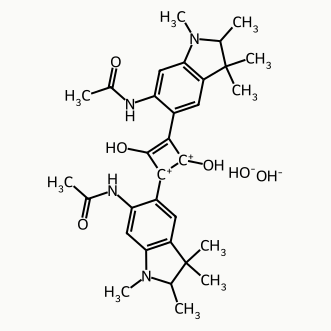 CC(=O)Nc1cc2c(cc1-c1c(O)[c+](-c3cc4c(cc3NC(C)=O)N(C)C(C)C4(C)C)[c+]1O)C(C)(C)C(C)N2C.[OH-].[OH-]